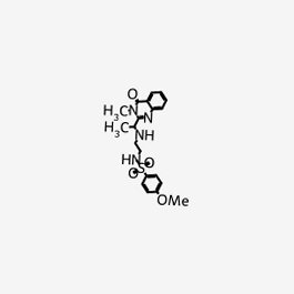 COc1ccc(S(=O)(=O)NCCNC(C)c2nc3ccccc3c(=O)n2C)cc1